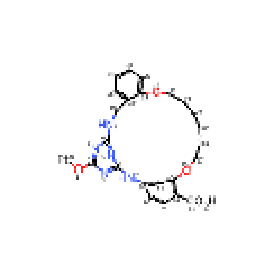 CCOc1nc2nc(n1)Nc1ccc(C(=O)O)c(c1)OCCCCCCOc1ccccc1CN2